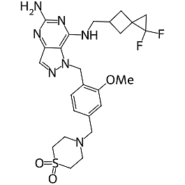 COc1cc(CN2CCS(=O)(=O)CC2)ccc1Cn1ncc2nc(N)nc(NCC3CC4(C3)CC4(F)F)c21